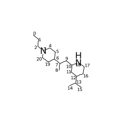 CCCN1CCC(C(C)CC2CC(C(C)C)CCN2)CC1